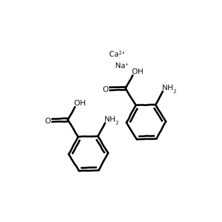 Nc1ccccc1C(=O)O.Nc1ccccc1C(=O)O.[Ca+2].[Na+]